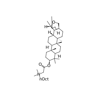 CCCCCCCC[N+](C)(C)CC(=O)O[C@H]1CC[C@]2(C)[C@H]3CC[C@@H]4[C@H]5[C@H]6OC[C@@]5(CCC6(C)C)CC[C@@]4(C)[C@]3(C)CC[C@H]2C1(C)C